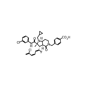 C=C(Cl)/C=C\C=C(/F)[C@H]1[C@@H]2C(=O)N(Cc3ccc(C(=O)O)cc3)CC[C@@H]2N(CC2CC2)[C@@]1(C)C(=O)Nc1cccc(Cl)c1